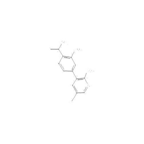 COc1cc(-c2cc(Cl)cnc2OC)ccc1C(C)N